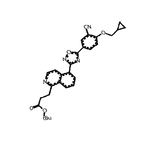 CC(C)(C)OC(=O)CCc1nccc2c(-c3noc(-c4ccc(OCC5CC5)c(C#N)c4)n3)cccc12